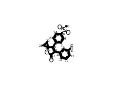 CS(=O)(=O)c1ccc(C2=C(c3cccc(F)c3)C(=O)OC23CC3)cc1